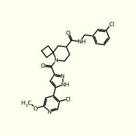 COc1cc(-c2cc(C(=O)N3CCC(C(=O)NCc4cccc(Cl)c4)CC34CCC4)n[nH]2)c(Cl)cn1